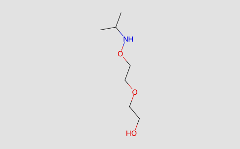 CC(C)NOCCOCCO